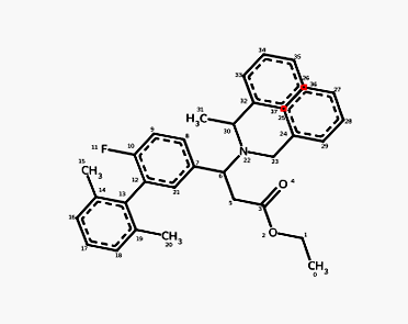 CCOC(=O)CC(c1ccc(F)c(-c2c(C)cccc2C)c1)N(Cc1ccccc1)C(C)c1ccccc1